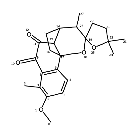 COc1ccc2c(c1C)C(=O)C(=O)C1C3CCC21OC1(CCC(C)(C)O1)C3C